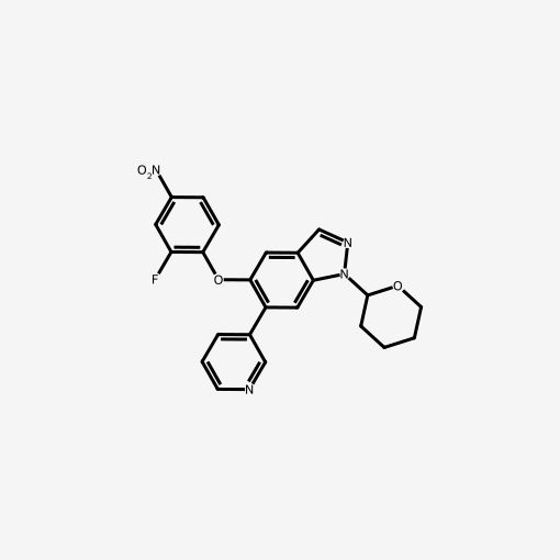 O=[N+]([O-])c1ccc(Oc2cc3cnn(C4CCCCO4)c3cc2-c2cccnc2)c(F)c1